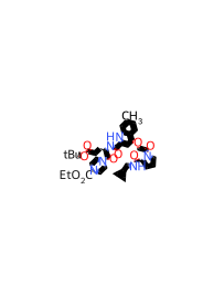 CCOC(=O)N1CCN(C(=O)[C@H](CCC(=O)OC(C)(C)C)NC(=O)c2cc(OCC(=O)N3CCC[C@H]3C(=O)NCC3CC3)c3ccc(C)cc3n2)CC1